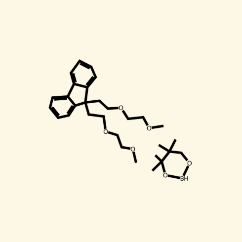 CC1(C)COBOC1(C)C.COCCOCCC1(CCOCCOC)c2ccccc2-c2ccccc21